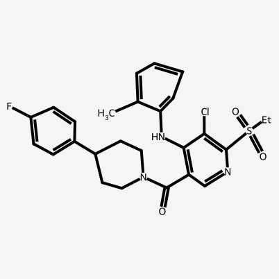 CCS(=O)(=O)c1ncc(C(=O)N2CCC(c3ccc(F)cc3)CC2)c(Nc2ccccc2C)c1Cl